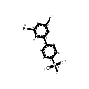 CS(=O)(=O)c1ccc(-c2cc(F)cc(Br)n2)cc1